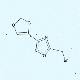 BrCc1nc(C2=COCO2)no1